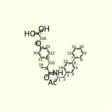 CC(=O)[C@H](Cc1ccc(-c2ccccc2)cc1)NC(=O)[C@@H](C)Cc1ccc(OCC(O)O)cc1